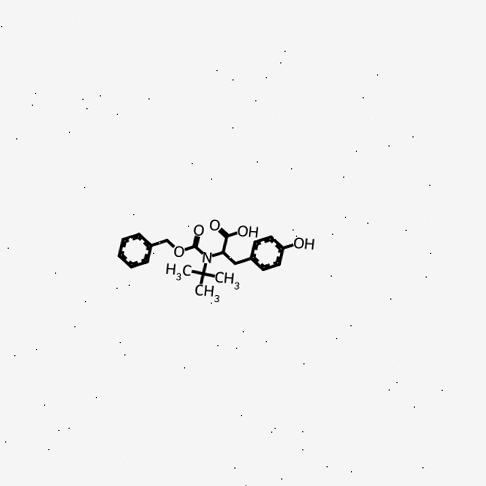 CC(C)(C)N(C(=O)OCc1ccccc1)C(Cc1ccc(O)cc1)C(=O)O